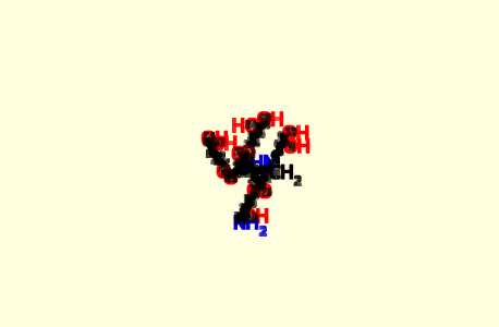 C=C(NCCCCC(O)CO)c1cc(C(=O)OCCCCC(O)CN)cc(-c2cc(C(=O)OCCCCC(O)CO)cc(C3OC3OCCCCC(O)CO)c2)c1